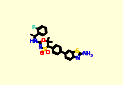 C[C@H](NC1=NS(=O)(=O)C(c2ccc(-c3ccc4nc(N)sc4c3)cc2)C(C)(C)O1)c1ccccc1F